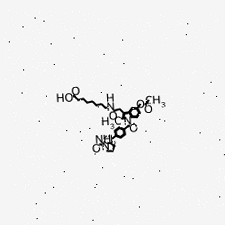 CC(=O)Oc1ccc2c(c1)c(CC(=O)NCCCCCCCC(=O)O)c(C)n2C(=O)c1ccc(Cl)cc1.NC(=O)N1CCCC1